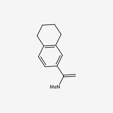 C=C(NC)c1ccc2c(c1)CCCC2